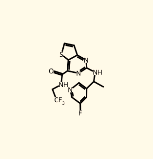 CC(Nc1nc(C(=O)NCC(F)(F)F)c2sccc2n1)c1cncc(F)c1